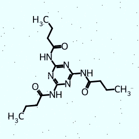 CCCC(=O)Nc1nc(NC(=O)CCC)nc(NC(=O)CCC)n1